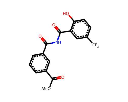 COC(=O)c1cccc(C(=O)NC(=O)c2cc(C(F)(F)F)ccc2O)c1